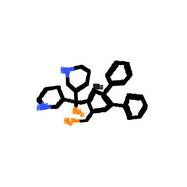 CC(C)(C)c1c(-c2ccccc2)c(-c2ccccc2)cc(CP)c1C(P)(C1CCCNC1)C1CCCNC1